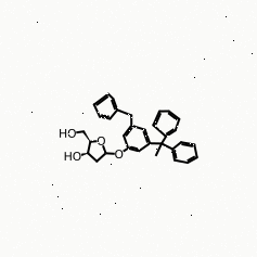 CC(c1ccccc1)(c1ccccc1)c1cc(Cc2ccccc2)cc(OC2C[C@@H](O)[C@@H](CO)O2)c1